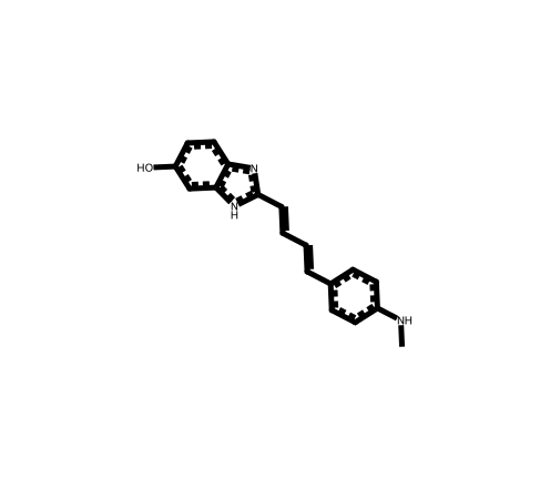 CNc1ccc(/C=C/C=C/c2nc3ccc(O)cc3[nH]2)cc1